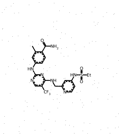 CCS(=O)(=O)Nc1ccnc(CNc2nc(Nc3ccc(C(N)=O)c(C)c3)ncc2C(F)(F)F)c1